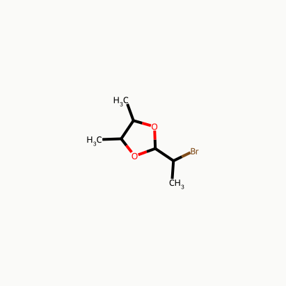 CC(Br)C1OC(C)C(C)O1